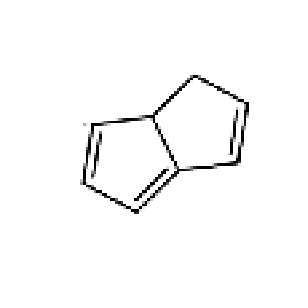 [C]1=CC=C2C=CCC12